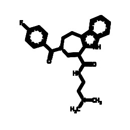 CN(C)CCNC(=O)C1=CN(C(=O)c2ccc(F)cc2)CCc2c1[nH]c1ccccc21